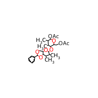 CC(=O)OCC1OC(OC(C)=O)C(C)C(C)C1OC1OC2COC(c3ccccc3)OC2C(C)C1C